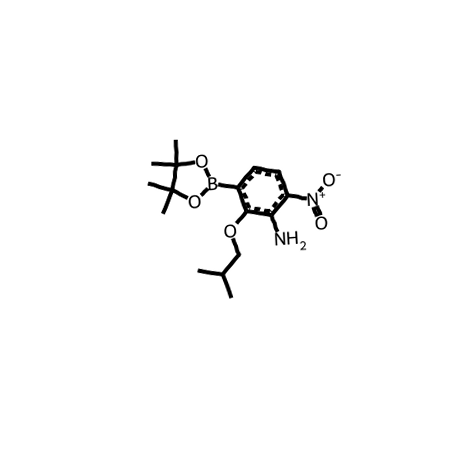 CC(C)COc1c(B2OC(C)(C)C(C)(C)O2)ccc([N+](=O)[O-])c1N